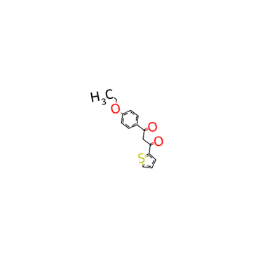 CCOc1ccc(C(=O)CC(=O)c2cccs2)cc1